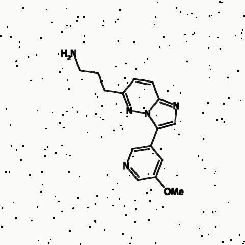 COc1cncc(-c2cnc3ccc(CCCN)nn23)c1